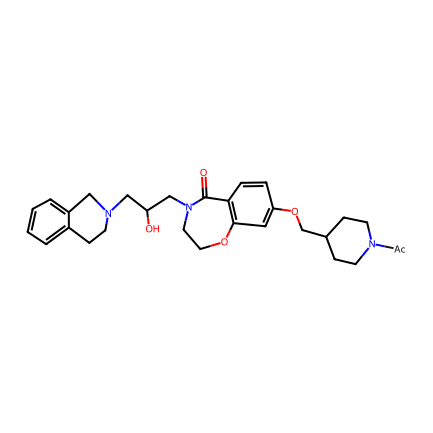 CC(=O)N1CCC(COc2ccc3c(c2)OCCN(CC(O)CN2CCc4ccccc4C2)C3=O)CC1